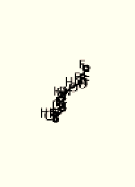 O=C(NCCOCCNCC(=O)N1CCN(C(=O)c2cc(Cc3n[nH]c(=O)c4ccccc34)ccc2F)CC1)c1c(F)cc(-c2cccc(F)c2)cc1F